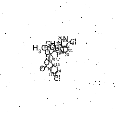 CC1(C)O[C@@H]2[C@@H]([C@H]3OC(=O)c4cc(Cl)ccc43)C[C@@H](n3ccc4c(Cl)ncnc43)[C@@H]2O1